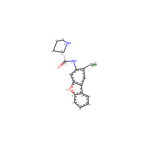 COc1cc2c(cc1NC(=O)[C@@H]1CCCN1)oc1ccccc12.Cl